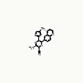 Cc1coc(-c2nc(N)c(C#N)nc2-c2ccc3ncccc3c2)c1